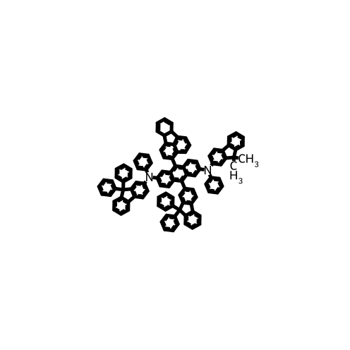 CC1(C)c2ccccc2-c2ccc(N(c3ccccc3)c3ccc4c(-c5ccc6c7c(cccc57)C5C=CC=CC65)c5cc(N(c6ccccc6)c6ccc7c(c6)C(c6ccccc6)(c6ccccc6)c6ccccc6-7)ccc5c(-c5ccc6c(c5)C(c5ccccc5)(c5ccccc5)c5ccccc5-6)c4c3)cc21